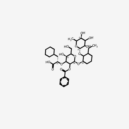 CCC1CCC[C@@H](O[C@@H]2OC(CO)[C@H](O)C(O[C@@H](CC3CCCCC3)C(=O)O)C2OC(=O)c2ccccc2)C1O[C@@H]1OC(C)[C@@H](O)C(O)C1O